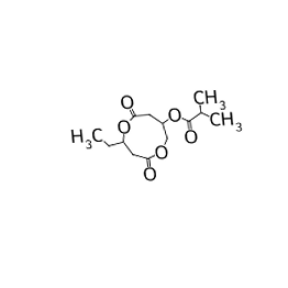 CCC1CC(=O)OCC(OC(=O)C(C)C)CC(=O)O1